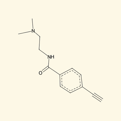 C#Cc1ccc(C(=O)NCCN(C)C)cc1